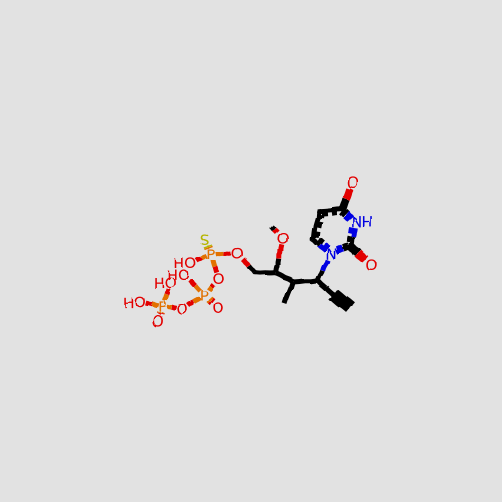 C#CC(C(C)C(COP(O)(=S)OP(=O)(O)OP(=O)(O)O)OC)n1ccc(=O)[nH]c1=O